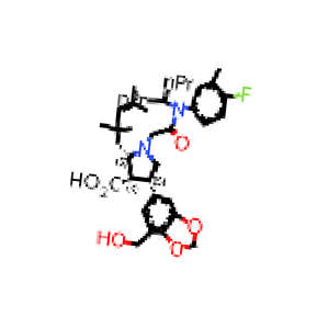 CCCC(CCC)N(C(=O)CN1C[C@H](c2cc(CO)c3c(c2)OCO3)[C@@H](C(=O)O)[C@@H]1CC(C)(C)C=C(C)C)c1ccc(F)c(C)c1